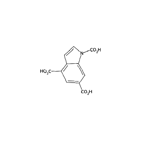 O=C(O)c1cc(C(=O)O)c2ccn(C(=O)O)c2c1